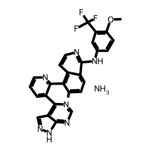 COc1ccc(Nc2nccc3c(-c4ncccc4-c4ncnc5[nH]ncc45)c(C)ccc23)cc1C(F)(F)F.N